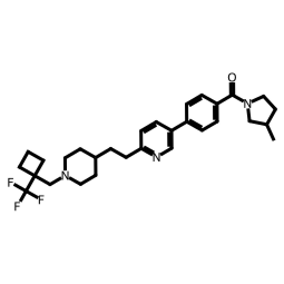 CC1CCN(C(=O)c2ccc(-c3ccc(CCC4CCN(CC5(C(F)(F)F)CCC5)CC4)nc3)cc2)C1